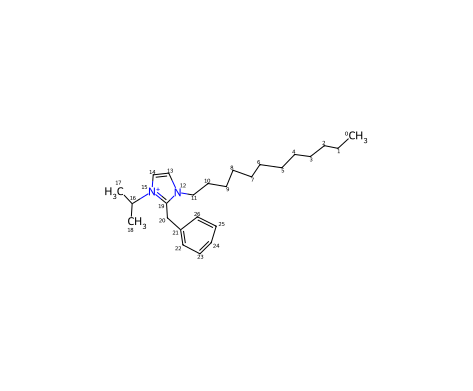 CCCCCCCCCCCCn1cc[n+](C(C)C)c1Cc1ccccc1